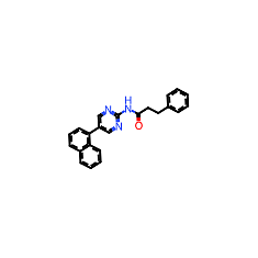 O=C(CCc1ccccc1)Nc1ncc(-c2cccc3ccccc23)cn1